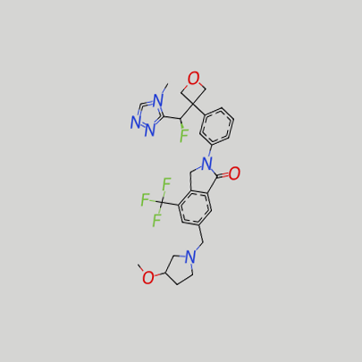 COC1CCN(Cc2cc3c(c(C(F)(F)F)c2)CN(c2cccc(C4([C@@H](F)c5nncn5C)COC4)c2)C3=O)C1